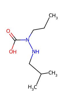 CCCN(NCC(C)C)C(=O)O